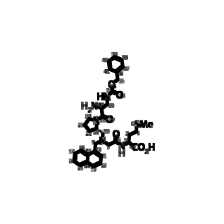 CSCCC(NC(=O)CN(Cc1cccc2ccccc12)C[C@@H]1CCCN1C(=O)[C@@H](N)CNC(=O)OCc1ccccc1)C(=O)O